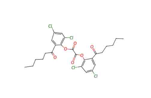 CCCCCC(=O)c1cc(Cl)cc(Cl)c1OC(=O)C(=O)Oc1c(Cl)cc(Cl)cc1C(=O)CCCCC